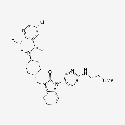 COCCNc1ccc(-n2c(=O)n(C[C@H]3CC[C@H](NC(=O)c4cc(Cl)cnc4C(F)F)CC3)c3ccccc32)cn1